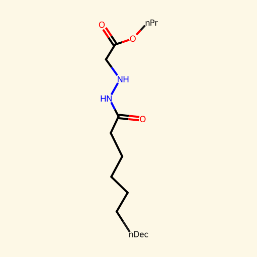 CCCCCCCCCCCCCCCC(=O)NNCC(=O)OCCC